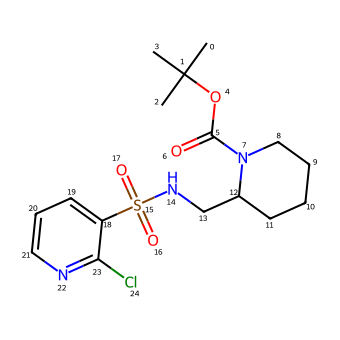 CC(C)(C)OC(=O)N1CCCCC1CNS(=O)(=O)c1cccnc1Cl